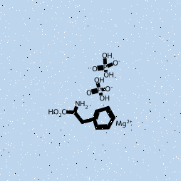 NC(Cc1ccccc1)C(=O)O.O=P([O-])(O)O.O=P([O-])(O)O.[Mg+2]